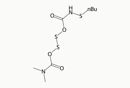 CCCCSNC(=O)OSSOC(=O)N(C)C